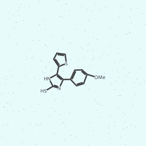 COc1ccc(-c2nc(S)[nH]c2-c2cccs2)cc1